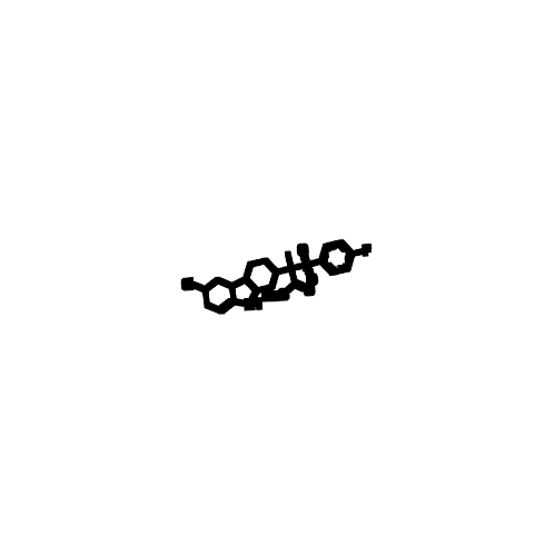 COC(=O)C(C)(C1CCC2C(C1)NC1=CCC(Cl)CC12)S(=O)(=O)c1ccc(F)cc1